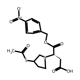 CC(=O)SC1CCN([C@@H](CC(=O)O)C(=O)OCc2ccc([N+](=O)[O-])cc2)C1